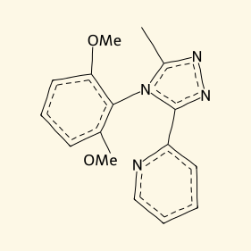 COc1cccc(OC)c1-n1c(C)nnc1-c1ccccn1